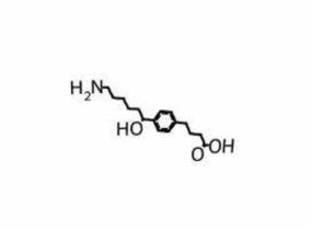 NCCCCCC(O)c1ccc(CCCC(=O)O)cc1